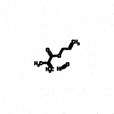 C=CCOC(=O)C(=C)C.O=P